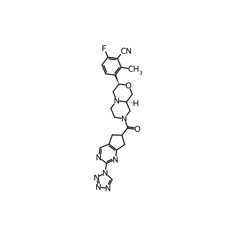 Cc1c([C@@H]2CN3CCN(C(=O)C4Cc5cnc(-n6cnnn6)nc5C4)C[C@@H]3CO2)ccc(F)c1C#N